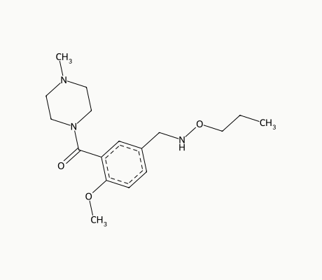 CCCONCc1ccc(OC)c(C(=O)N2CCN(C)CC2)c1